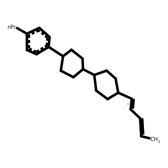 CC=C/C=C/C1CCC(C2CCC(c3ccc(CCC)cc3)CC2)CC1